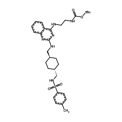 Cc1ccc(S(=O)(=O)NC[C@H]2CC[C@H](CNc3nc(NCCNC(=O)OC(C)(C)C)c4ccccc4n3)CC2)cc1